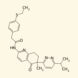 CCSc1ccc(CC(=O)Nc2ccc3c(n2)CCC(C)(c2ccc(C(C)C)nn2)C3=O)cc1